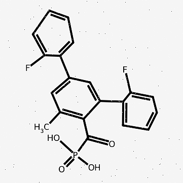 Cc1cc(-c2ccccc2F)cc(-c2ccccc2F)c1C(=O)P(=O)(O)O